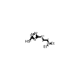 CCN(CC)CCSc1nnc(S)s1